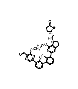 COc1nc(-c2cccc(-c3cccc(-c4cc5c(c(OC)n4)[C@H](NC[C@@H]4CCC(=O)N4)CC5)c3Cl)c2Cl)cnc1C=O